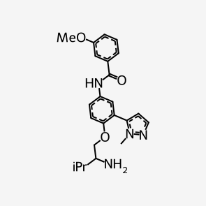 COc1cccc(C(=O)Nc2ccc(OCC(N)C(C)C)c(-c3ccnn3C)c2)c1